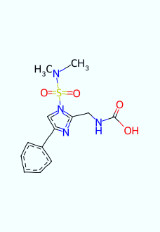 CN(C)S(=O)(=O)n1cc(-c2ccccc2)nc1CNC(=O)O